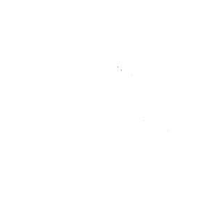 CC(C)(C)OC(=O)C(N)C(=O)OC1CCCCC1